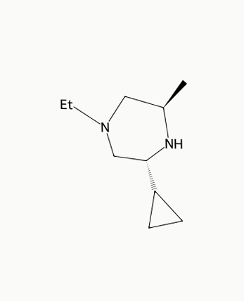 CCN1C[C@@H](C)N[C@H](C2CC2)C1